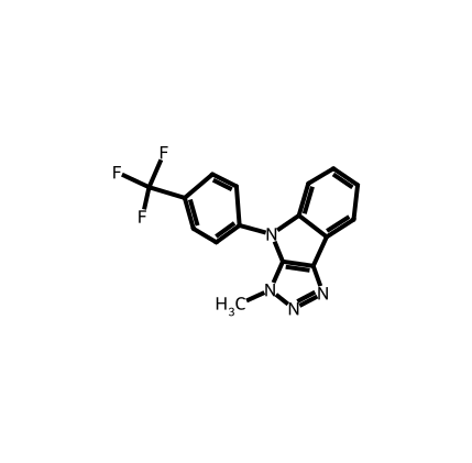 Cn1nnc2c3ccccc3n(-c3ccc(C(F)(F)F)cc3)c21